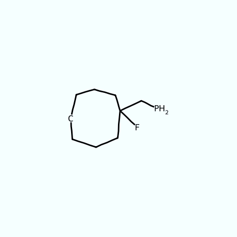 FC1(CP)CCCCCCC1